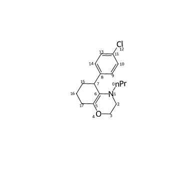 CCCN1CCOC2=C1C(c1ccc(Cl)cc1)CCC2